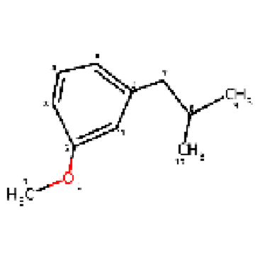 COc1[c]ccc(CC(C)C)c1